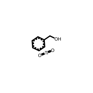 OCc1ccccc1.[O]=[Ti]=[O]